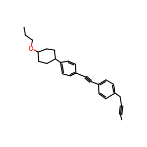 CC#CCc1ccc(C#Cc2ccc(C3CCC(OCCC)CC3)cc2)cc1